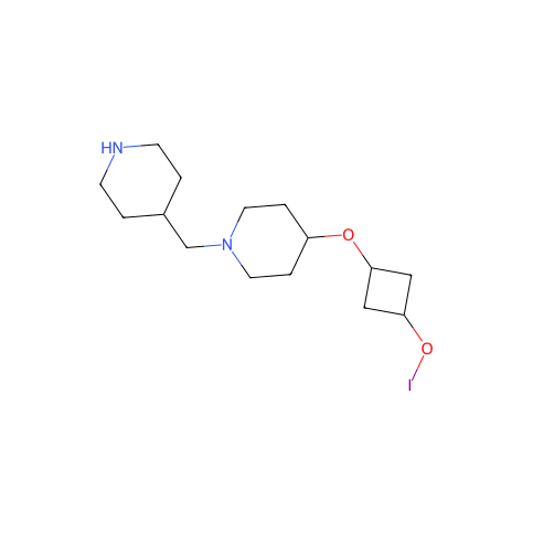 IOC1CC(OC2CCN(CC3CCNCC3)CC2)C1